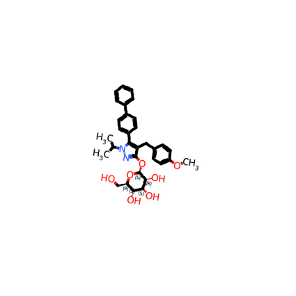 COc1ccc(Cc2c(O[C@@H]3O[C@H](CO)[C@@H](O)[C@H](O)[C@H]3O)nn(C(C)C)c2-c2ccc(-c3ccccc3)cc2)cc1